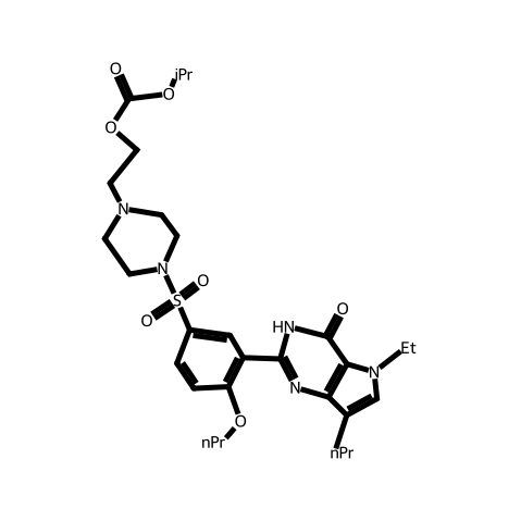 CCCOc1ccc(S(=O)(=O)N2CCN(CCOC(=O)OC(C)C)CC2)cc1-c1nc2c(CCC)cn(CC)c2c(=O)[nH]1